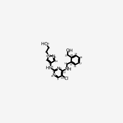 OCCn1cc(Nc2ncc(Cl)c(NCc3ccccc3CO)n2)cn1